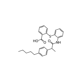 CCCCCc1ccc(C(C)C(=O)Nc2ccccc2Sc2ccccc2C(=O)O)cc1